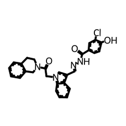 O=C(N/N=C/c1cn(CC(=O)N2CCc3ccccc3C2)c2ccccc12)c1ccc(O)c(Cl)c1